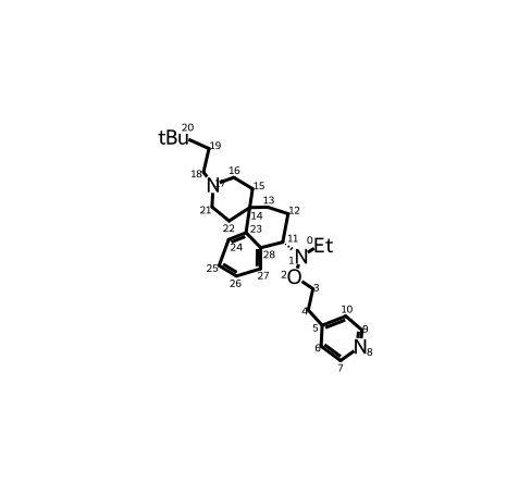 CCN(OCCc1ccncc1)[C@H]1CCC2(CCN(CCC(C)(C)C)CC2)c2ccccc21